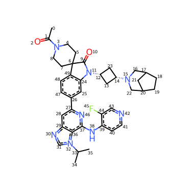 CC(=O)N1CCC2(CC1)C(=O)N([C@H]1C[C@@H](N3CC4CCC(C4)C3)C1)c1cc(-c3cc4ncn(C(C)C)c4c(Nc4ccncc4F)n3)ccc12